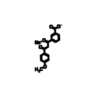 COc1ccc(C(=O)CC(=O)c2cccc(C(=O)[O-])c2)cc1.[Na+]